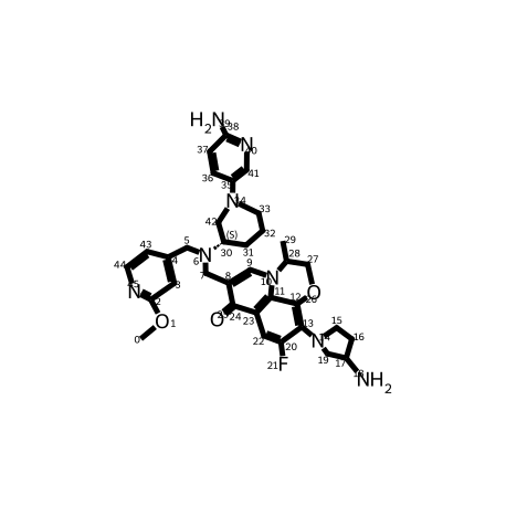 COc1cc(CN(Cc2cn3c4c(c(N5CCC(N)C5)c(F)cc4c2=O)OCC3C)[C@H]2CCCN(c3ccc(N)nc3)C2)ccn1